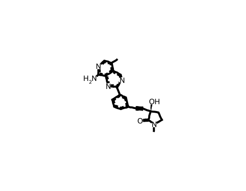 Cc1cnc(N)c2nc(-c3cccc(C#C[C@]4(O)CCN(C)C4=O)c3)ncc12